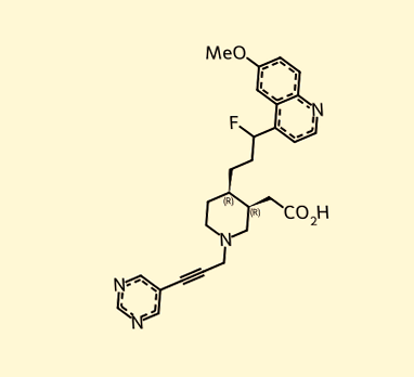 COc1ccc2nccc(C(F)CC[C@@H]3CCN(CC#Cc4cncnc4)C[C@@H]3CC(=O)O)c2c1